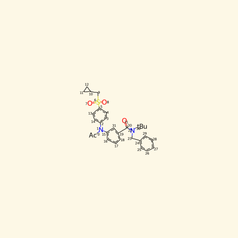 CC(=O)N(c1ccc(S(=O)(=O)CC2CC2)cc1)c1cccc(C(=O)N(Cc2ccccc2)C(C)(C)C)c1